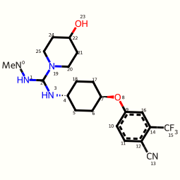 CNNC(N[C@H]1CC[C@H](Oc2ccc(C#N)c(C(F)(F)F)c2)CC1)N1CCC(O)CC1